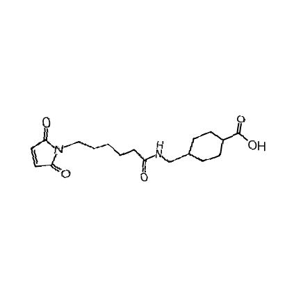 O=C(CCCCCN1C(=O)C=CC1=O)NCC1CCC(C(=O)O)CC1